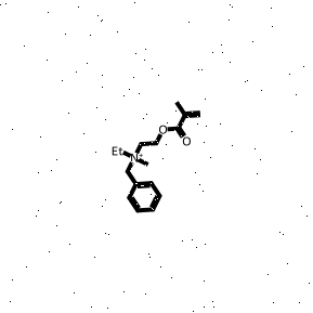 C=C(C)C(=O)OCC[N+](C)(CC)Cc1ccccc1